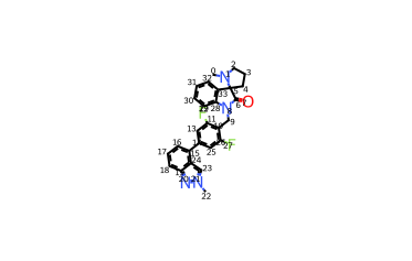 CN1CCCC12C(=O)N(Cc1c(F)cc(-c3cccc4nn(C)cc34)cc1F)c1ccccc12